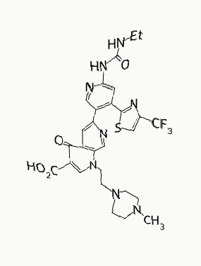 CCNC(=O)Nc1cc(-c2nc(C(F)(F)F)cs2)c(-c2cc3c(=O)c(C(=O)O)cn(CCN4CCN(C)CC4)c3cn2)cn1